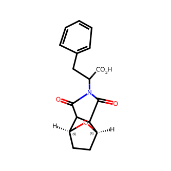 O=C(O)C(Cc1ccccc1)N1C(=O)C2C(C1=O)[C@H]1CC[C@@H]2O1